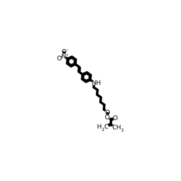 C=C(C)C(=O)OOCCCCCCCNc1ccc(C=Cc2ccc([N+](=O)[O-])cc2)cc1